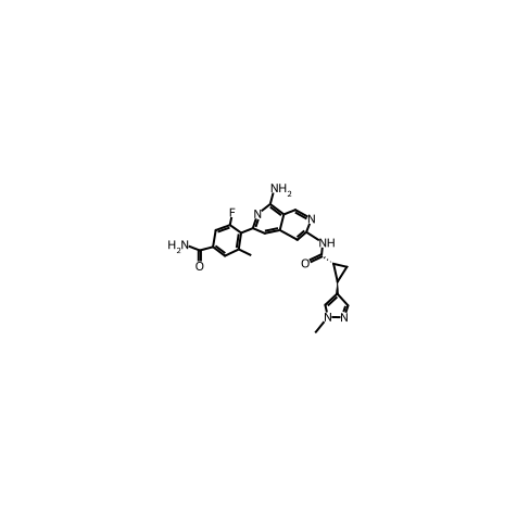 Cc1cc(C(N)=O)cc(F)c1-c1cc2cc(NC(=O)[C@@H]3C[C@H]3c3cnn(C)c3)ncc2c(N)n1